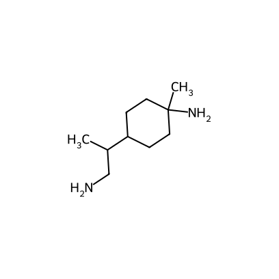 CC(CN)C1CCC(C)(N)CC1